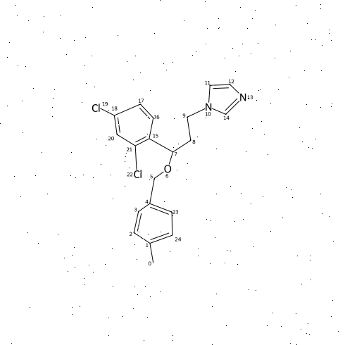 Cc1ccc(COC(CCn2ccnc2)c2ccc(Cl)cc2Cl)cc1